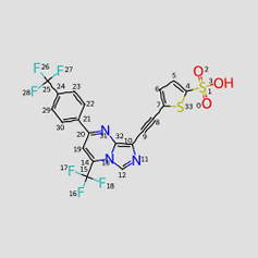 O=S(=O)(O)c1ccc(C#Cc2ncn3c(C(F)(F)F)cc(-c4ccc(C(F)(F)F)cc4)nc23)s1